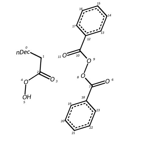 CCCCCCCCCCCC(=O)OO.O=C(OOC(=O)c1ccccc1)c1ccccc1